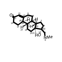 CNC[C@]1(O)CC[C@H]2[C@@H]3CCC4=CC(=O)CC[C@@H]4[C@H]3CC[C@@]21C